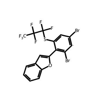 FC(F)(F)C(F)(F)C(F)(F)Sc1cc(Br)[c]c(Br)c1-c1cc2ccccc2o1